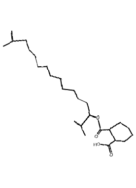 CC(C)CCCCCCCCCCCC(OC(=O)C1CCCCC1C(=O)O)C(C)C